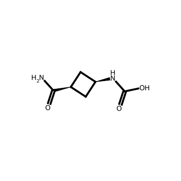 NC(=O)[C@H]1C[C@@H](NC(=O)O)C1